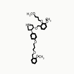 COCCCOc1c(CO[C@H]2CNCC[C@@H]2c2ccc(OCCCOCc3ccccc3OC)cc2)cccc1OC